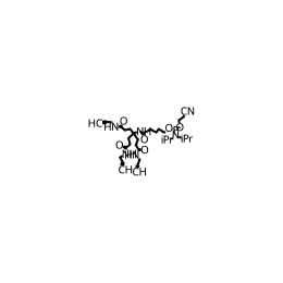 C#CCNC(=O)CCC(CCC(=O)NCC#C)(CCC(=O)NCC#C)NC(=O)CCCCOP(OCCC#N)N(C(C)C)C(C)C